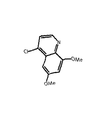 COc1cc(OC)c2nccc(Cl)c2c1